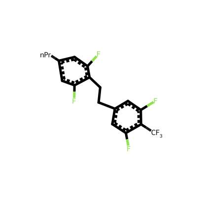 CCCc1cc(F)c(CCc2cc(F)c(C(F)(F)F)c(F)c2)c(F)c1